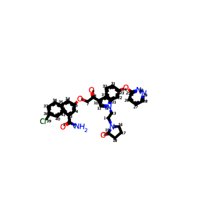 NC(=O)c1cc(OCC(=O)c2cn(CCN3CCCC3=O)c3cc(Oc4cccnn4)ccc23)cc2ccc(Cl)cc12